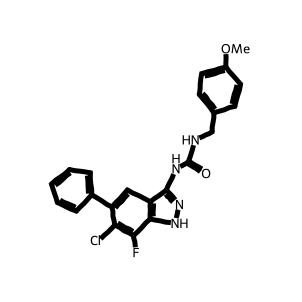 COc1ccc(CNC(=O)Nc2n[nH]c3c(F)c(Cl)c(-c4ccccc4)cc23)cc1